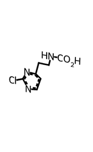 O=C(O)NCCc1ccnc(Cl)n1